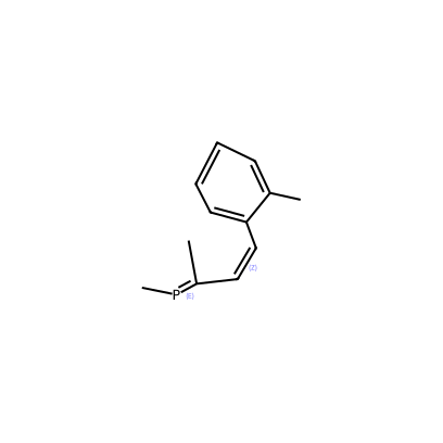 C/P=C(C)/C=C\c1ccccc1C